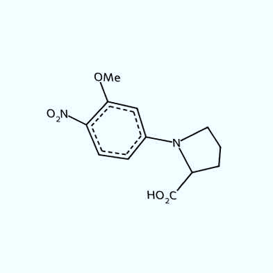 COc1cc(N2CCCC2C(=O)O)ccc1[N+](=O)[O-]